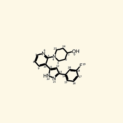 OC1CCN(c2ncccc2-c2cc(-c3cccc(F)c3)n[nH]2)CC1